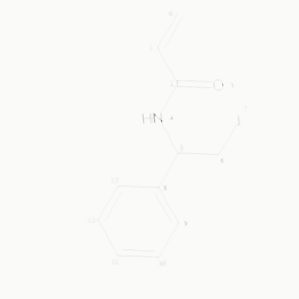 C=CC(=O)NC(CI)c1ccccc1